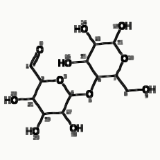 O=CC1OC(OC2C(CO)OC(O)C(O)C2O)C(O)C(O)C1O